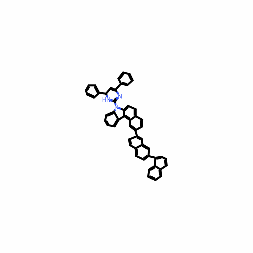 C1=C(c2ccccc2)N=C(n2c3ccccc3c3c4cc(-c5ccc6ccc(-c7cccc8ccccc78)cc6c5)ccc4ccc32)NC1c1ccccc1